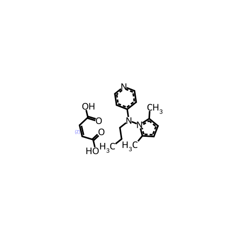 CCCN(c1ccncc1)n1c(C)ccc1C.O=C(O)/C=C\C(=O)O